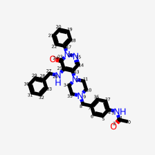 CC(=O)Nc1ccc(CN2CCN(c3cnn(-c4ccccc4)c(=O)c3NCc3ccccc3)CC2)cc1